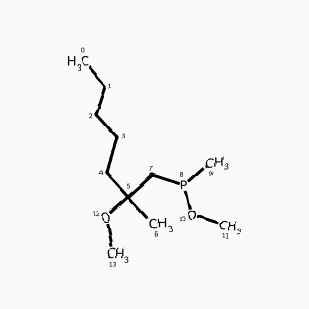 CCCCCC(C)(CP(C)OC)OC